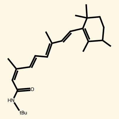 CC1=C(/C=C/C(C)=C/C=C/C(C)=C\C(=O)NC(C)(C)C)C(C)(C)CCC1C